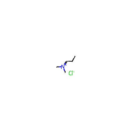 CCC=[N+](C)C.[Cl-]